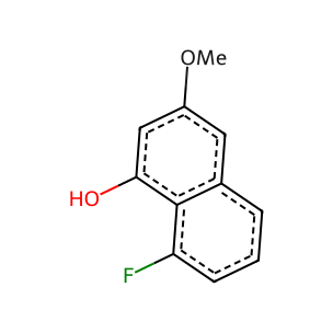 COc1cc(O)c2c(F)cccc2c1